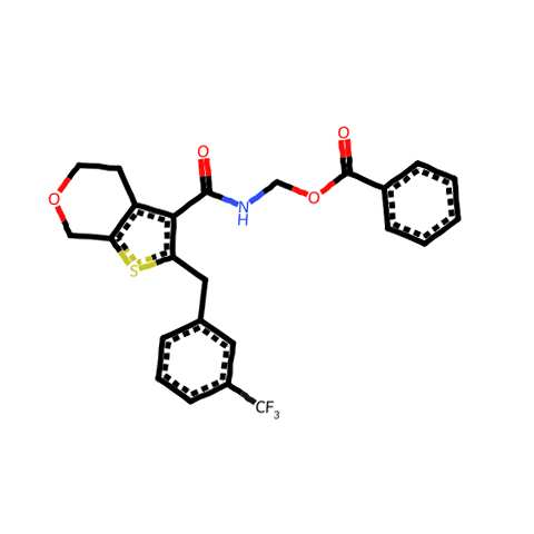 O=C(OCNC(=O)c1c(Cc2cccc(C(F)(F)F)c2)sc2c1CCOC2)c1ccccc1